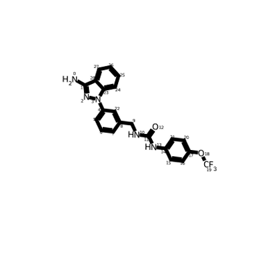 Nc1nn(-c2cccc(CNC(=O)Nc3ccc(OC(F)(F)F)cc3)c2)c2ccccc12